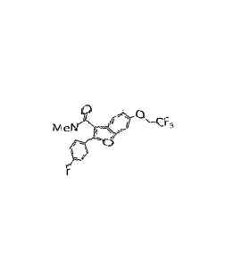 CNC(=O)c1c(-c2ccc(F)cc2)oc2cc(OCC(F)(F)F)[c]cc12